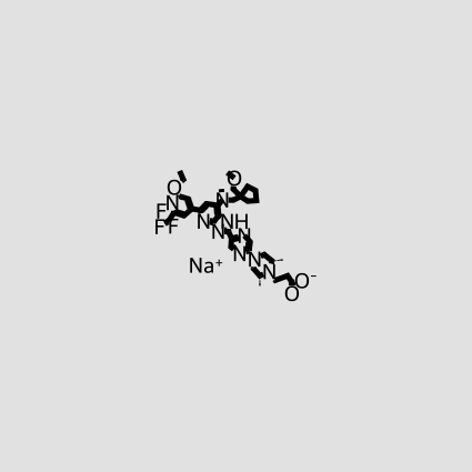 CCOc1cc(-c2cc(N(C)CC3(COC)CCCC3)c3[nH]c(-c4cnc(N5C[C@@H](C)N(CCC(=O)[O-])[C@@H](C)C5)cn4)nc3n2)cc(C(F)(F)F)n1.[Na+]